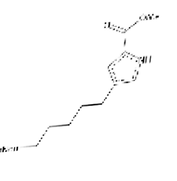 CCCCCCCCCCCCCCc1c[nH]c(C(=O)OC)c1